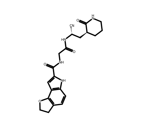 N#C[C@H](C[C@@H]1CCCNC1=O)NC(=O)CNC(=O)c1cc2c3c(ccc2[nH]1)CCO3